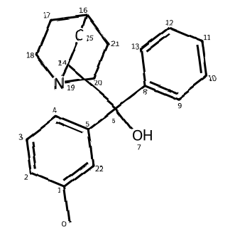 Cc1cccc(C(O)(c2ccccc2)C2CC3CCN2CC3)c1